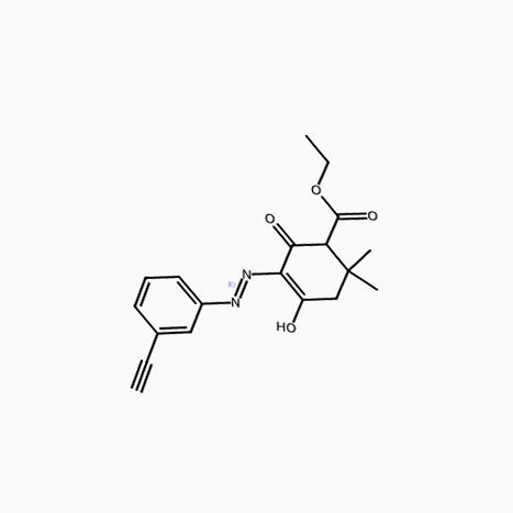 C#Cc1cccc(/N=N/C2=C(O)CC(C)(C)C(C(=O)OCC)C2=O)c1